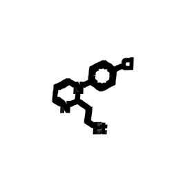 CCC=CC1N=CC=CN1c1ccc(Cl)cc1